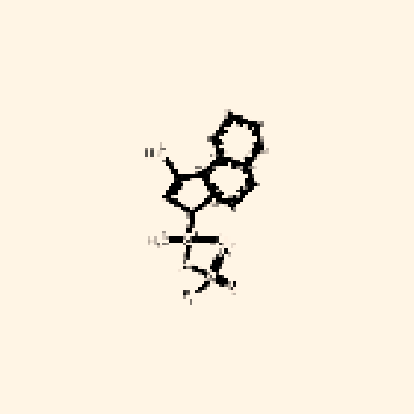 CC1=CC([Si](C)(C)OS(=O)(=O)C(F)(F)F)c2ccc3ccccc3c21